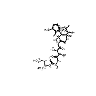 COc1ccc2c3c1O[C@H]1C(OC(=O)[C@H](O)[C@@H](O)C(=O)O[C@@H](C)C(=O)O[C@@H](CC(=O)O)C(=O)O)=CC[C@@]4(O)[C@@H](C2)N(C)CC[C@]314